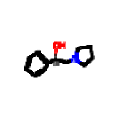 O[C@@H](CN1CCCC1)c1ccccc1